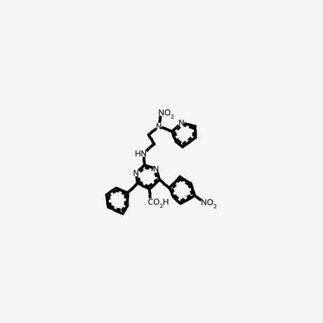 O=C(O)c1c(-c2ccccc2)nc(NCCN(c2ccccn2)[N+](=O)[O-])nc1-c1ccc([N+](=O)[O-])cc1